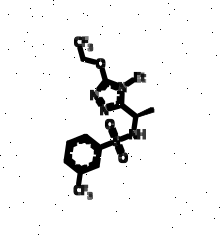 CCn1c(OCC(F)(F)F)nnc1[C@@H](C)NS(=O)(=O)c1cccc(C(F)(F)F)c1